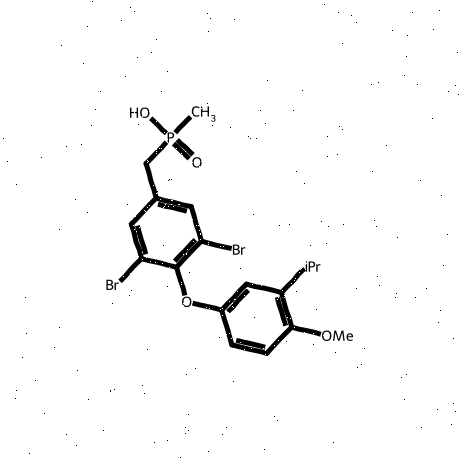 COc1ccc(Oc2c(Br)cc(CP(C)(=O)O)cc2Br)cc1C(C)C